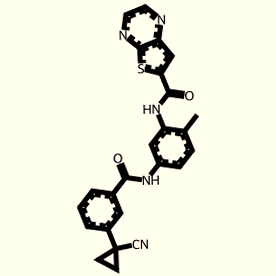 Cc1ccc(NC(=O)c2cccc(C3(C#N)CC3)c2)cc1NC(=O)c1cc2nccnc2s1